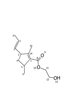 CC=CC1CC(C)C(C(=O)OCCO)=C1C